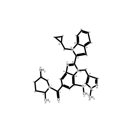 COc1cc(C(=O)N2CC(N)CCC2C)cc2nc(-c3cc4ccccc4n3CC3CC3)n(Cc3cnn(C)c3)c12